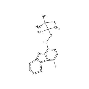 CC(C)(O)C(C)(C)OBc1ccc(F)c2c1oc1ccccc12